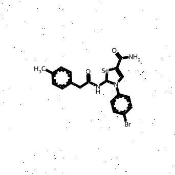 Cc1ccc(CC(=O)NC2[Se]C(C(N)=O)=CN2c2ccc(Br)cc2)cc1